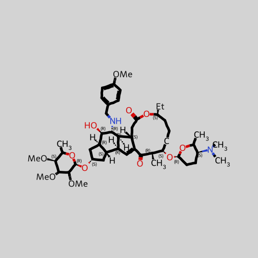 CC[C@H]1CCC[C@H](O[C@H]2CC[C@H](N(C)C)C(C)O2)[C@@H](C)C(=O)C2=C[C@H]3[C@@H]4C[C@H](O[C@@H]5OC(C)[C@H](OC)C(OC)C5OC)C[C@H]4[C@@H](O)[C@H](NCc4ccc(OC)cc4)[C@H]3[C@@H]2CC(=O)O1